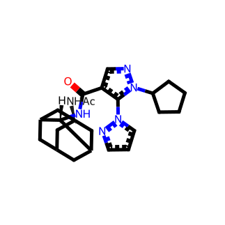 CC(=O)N[C@]12CC3CC(C1)[C@@H](NC(=O)c1cnn(C4CCCC4)c1-n1cccn1)C(C3)C2